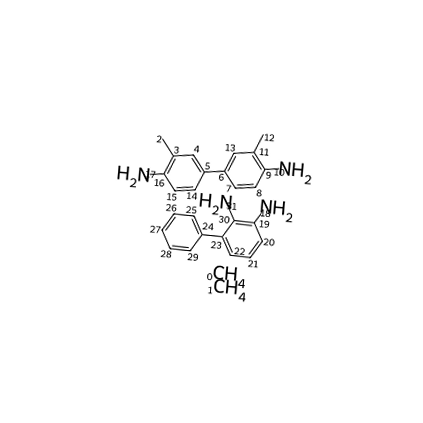 C.C.Cc1cc(-c2ccc(N)c(C)c2)ccc1N.Nc1cccc(-c2ccccc2)c1N